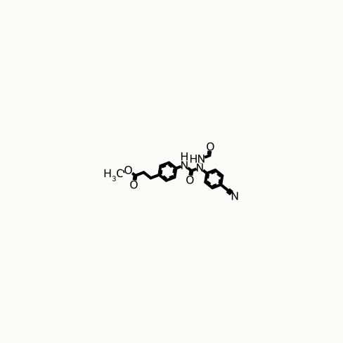 COC(=O)CCc1ccc(NC(=O)N(NC=O)c2ccc(C#N)cc2)cc1